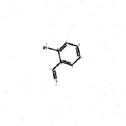 CC(C)c1ccccc1C=S